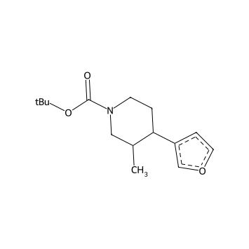 CC1CN(C(=O)OC(C)(C)C)CCC1c1ccoc1